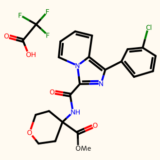 COC(=O)C1(NC(=O)c2nc(-c3cccc(Cl)c3)c3ccccn23)CCOCC1.O=C(O)C(F)(F)F